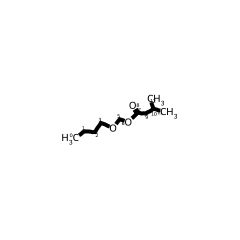 CCCCOCOC(=O)CC(C)C